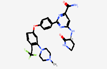 CN1CCN(c2cc(Oc3ccc(-c4nc(N[C@H]5CCNC5=O)cc(C(N)=O)n4)cc3)ccc2C(F)(F)F)CC1